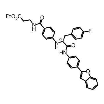 CCOC(=O)CCNC(=O)c1ccc(N[C@@H](Cc2ccc(F)cc2)C(=O)Nc2ccc(-c3cc4ccccc4o3)cc2)cc1